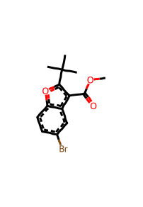 COC(=O)c1c(C(C)(C)C)oc2ccc(Br)cc12